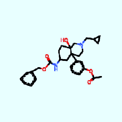 CC(=O)Oc1cccc(C23CCN(CC4CC4)CC2(O)CCC(NC(=O)OCc2ccccc2)C3)c1